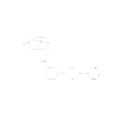 O=C(NC1C2CC3CC1CC(O)(C3)C2)c1cccc(N2CCC(c3ccccn3)CC2)n1